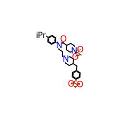 CC(C)c1ccc(N(CCCN2CCC(Cc3ccc(S(C)(=O)=O)cc3)CC2)C(=O)C2CCN(S(C)(=O)=O)CC2)cc1